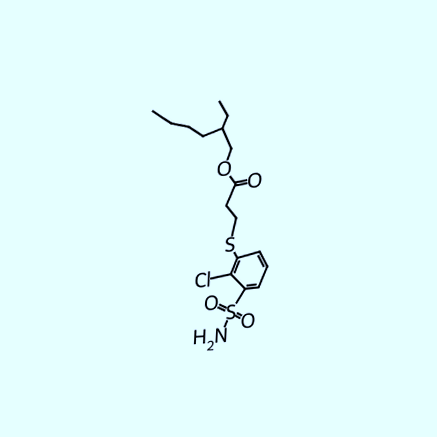 CCCCC(CC)COC(=O)CCSc1cccc(S(N)(=O)=O)c1Cl